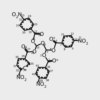 O=C(OC(OC(=O)c1ccc([N+](=O)[O-])cc1)OC(OC(=O)c1ccc([N+](=O)[O-])cc1)OC(=O)c1ccc([N+](=O)[O-])cc1)c1ccc([N+](=O)[O-])cc1